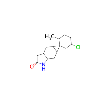 CC1CCC(Cl)CC12C1CC3CC(=O)NC3CC12